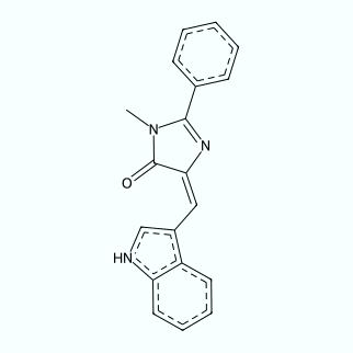 CN1C(=O)C(=Cc2c[nH]c3ccccc23)N=C1c1ccccc1